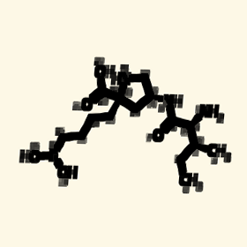 CC[C@H](C)[C@H](N)C(=O)N[C@H]1CN[C@@](CCCCB(O)O)(C(=O)O)C1